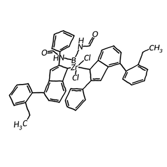 CCc1ccccc1-c1cccc2c1C=C(c1ccccc1)[CH]2[Zr]([Cl])([Cl])([B](NC=O)NC=O)[CH]1C(c2ccccc2)=Cc2c(-c3ccccc3CC)cccc21